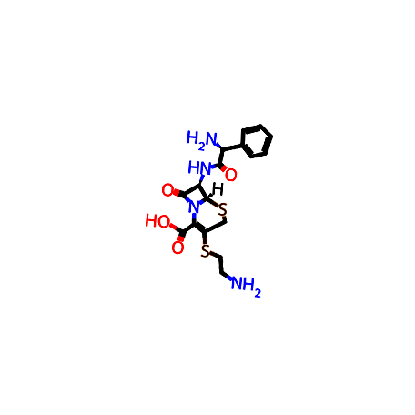 NCCSC1=C(C(=O)O)N2C(=O)[C@@H](NC(=O)[C@@H](N)c3ccccc3)[C@@H]2SC1